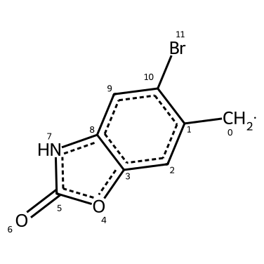 [CH2]c1cc2oc(=O)[nH]c2cc1Br